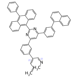 C=C/C=C(\C=N/C)c1cccc(-c2cc(-c3cccc(-c4cccc5ccccc45)c3)nc(-c3c4ccccc4c(-c4ccccc4)c4ccccc34)n2)c1